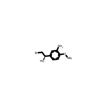 CCCCOc1ccc([C@@H](O)CBr)cc1N